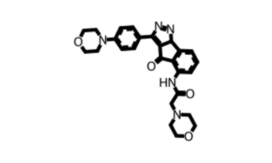 O=C(CN1CCOCC1)Nc1cccc2c1C(=O)C1=C(c3ccc(N4CCOCC4)cc3)N=NC12